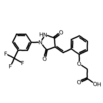 O=C(O)COc1ccccc1/C=C1\C(=O)NN(c2cccc(C(F)(F)F)c2)C1=O